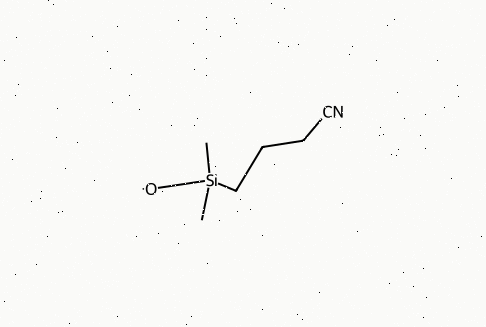 C[Si](C)([O])CCCC#N